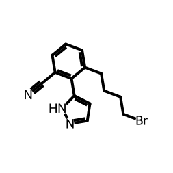 N#Cc1cccc(CCCCBr)c1-c1ccn[nH]1